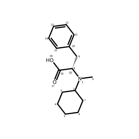 CN(C1CCCCC1)[C@@H](Cc1ccccc1)C(=O)O